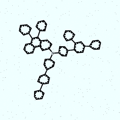 c1ccc(-c2ccc(-c3ccc(N(c4ccc(-c5ccc(-c6ccccc6)cc5-c5ccccc5)cc4)c4ccc5c(-c6ccccc6)c(-c6ccccc6)c6ccccc6c5c4)cc3)cc2)cc1